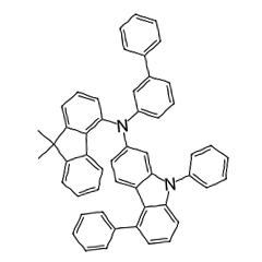 CC1(C)c2ccccc2-c2c(N(c3cccc(-c4ccccc4)c3)c3ccc4c5c(-c6ccccc6)cccc5n(-c5ccccc5)c4c3)cccc21